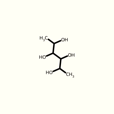 CC(O)C(O)C(O)C(C)O